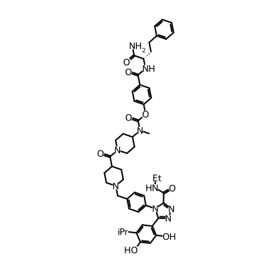 CCNC(=O)c1nnc(-c2cc(C(C)C)c(O)cc2O)n1-c1ccc(CN2CCC(C(=O)N3CCC(N(C)C(=O)Oc4ccc(C(=O)N[C@@H](CCc5ccccc5)C(N)=O)cc4)CC3)CC2)cc1